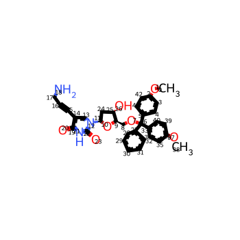 COc1ccc(C(OC[C@H]2O[C@@H](n3cc(C#CCN)c(=O)[nH]c3=O)C[C@@H]2O)(c2ccccc2)c2ccc(OC)cc2)cc1